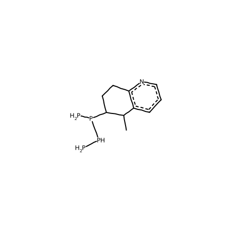 CC1c2cccnc2CCC1P(P)PP